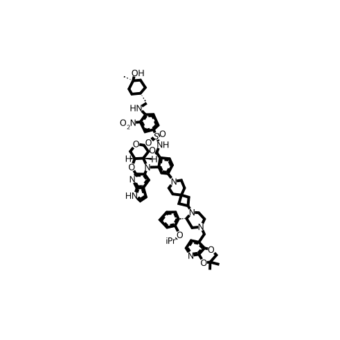 CC(C)Oc1ccccc1[C@H]1CN(Cc2ccnc3c2OCC(C)(C)O3)CCN1C1CC2(CCN(c3ccc(C(=O)NS(=O)(=O)c4ccc(NC[C@H]5CC[C@](C)(O)CC5)c([N+](=O)[O-])c4)c(N4c5cc6cc[nH]c6nc5O[C@H]5COCC[C@@H]54)c3)CC2)C1